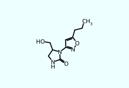 CCCc1cc(N2C(=O)NCC2CO)no1